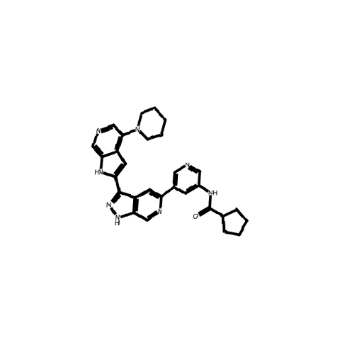 O=C(Nc1cncc(-c2cc3c(-c4cc5c(N6CCCCC6)cncc5[nH]4)n[nH]c3cn2)c1)C1CCCC1